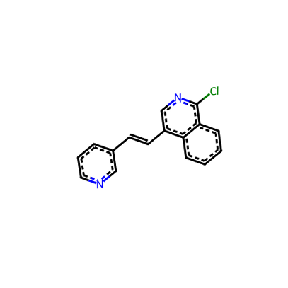 Clc1ncc(C=Cc2cccnc2)c2ccccc12